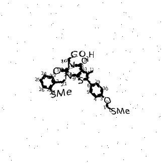 CSCOc1ccc(-c2sc3c(c2C)c(=O)n(CC(=O)O)c(=O)n3Cc2ccccc2SC)cc1